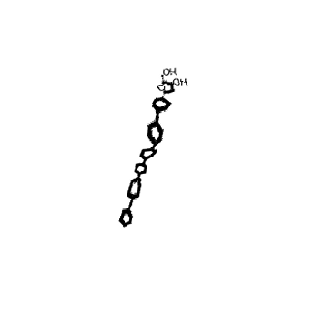 OC[C@H]1O[C@@H](c2ccc(-c3ccc(-c4ccc(-c5ccc(-c6ccc(-c7ccccc7)cc6)cc5)cc4)cc3)cc2)CC1O